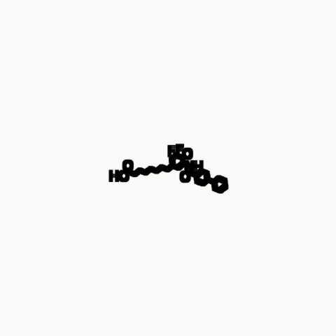 O=C(O)CCCCCCCC1=CC(F)(F)C(=O)C(NC(=O)c2ccc(-c3ccccc3)cc2)=C1